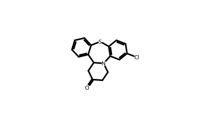 O=C1CCN2c3cc(Cl)ccc3Sc3ccccc3C2C1